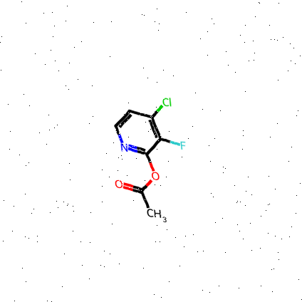 CC(=O)Oc1nccc(Cl)c1F